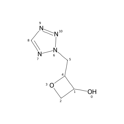 OC1COC1Cn1ncnn1